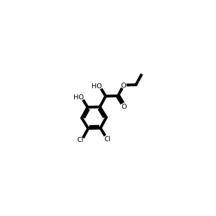 CCOC(=O)C(O)c1cc(Cl)c(Cl)cc1O